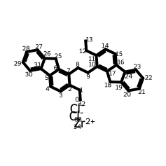 CCc1ccc2c(c1CCc1c(CC)ccc3c1Cc1ccccc1-3)Cc1ccccc1-2.[Cl-].[Cl-].[Zr+2]